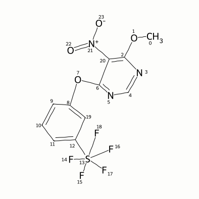 COc1ncnc(Oc2cccc(S(F)(F)(F)(F)F)c2)c1[N+](=O)[O-]